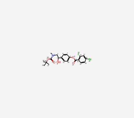 CN(CC(O)c1ccc(OC(=O)c2ccc(Br)cc2F)cc1)C(=O)OC(C)(C)C